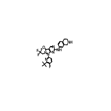 CC(C)(C)c1nc(-n2c3nc(Nc4ccc5c(c4)CNCC5)ncc3c(=O)n2CC(F)(F)F)ccc1F